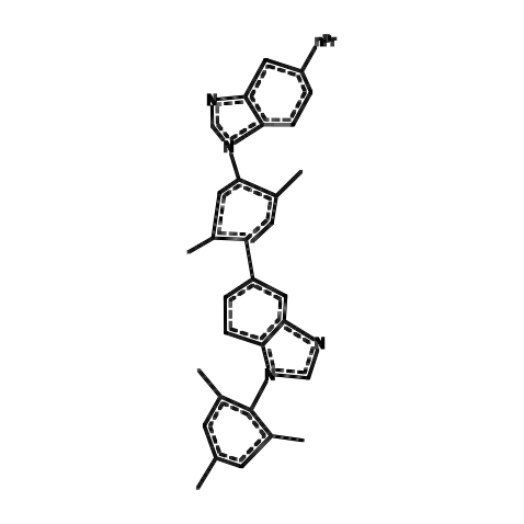 CCCc1ccc2c(c1)ncn2-c1cc(C)c(-c2ccc3c(c2)ncn3-c2c(C)cc(C)cc2C)cc1C